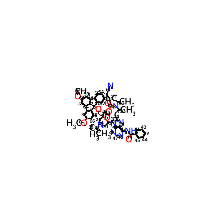 COc1ccc(C(OC[C@@]2(COP(OCCC#N)N(C(C)C)C(C)C)CN(C(C)C)C[C@H](n3cnc4c(NC(=O)c5ccccc5)ncnc43)O2)(c2ccccc2)c2ccc(OC)cc2)cc1